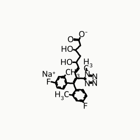 Cc1cc(F)ccc1C(=C(C=CC(O)CC(O)CC(=O)[O-])c1nnnn1C)c1ccc(F)cc1C.[Na+]